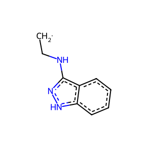 [CH2]CNc1n[nH]c2ccccc12